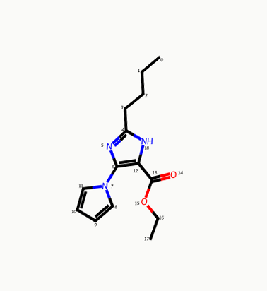 CCCCc1nc(-n2cccc2)c(C(=O)OCC)[nH]1